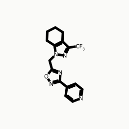 FC(F)(F)c1nn(Cc2nc(-c3ccncc3)no2)c2c1CCCC2